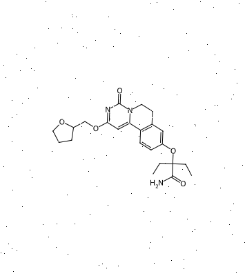 CCC(CC)(Oc1ccc2c(c1)CCn1c-2cc(OCC2CCCO2)nc1=O)C(N)=O